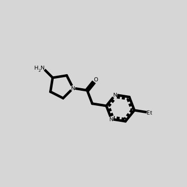 CCc1cnc(CC(=O)N2CCC(N)C2)nc1